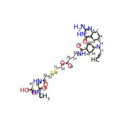 C#CCN(Cc1ccc2nc(N)[nH]c(=O)c2c1)c1ccc(C(=O)NCCCC(=O)OCCSSCCC(=O)N[C@@H](CC(=O)O)C(=O)NC)cc1